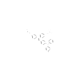 Cc1ccc(N(c2ccccc2)c2ccc(C=C(c3ccc(OCC(O)CO)cc3)c3ccc(OCC(O)CO)cc3)cc2)cc1